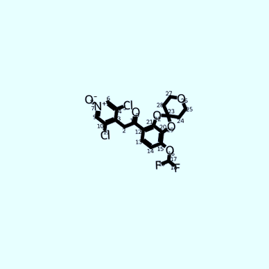 O=C(Cc1c(Cl)c[n+]([O-])cc1Cl)c1ccc(OC(F)F)c2c1OC1(CCOCC1)O2